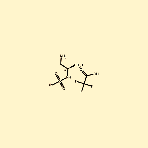 CC(C)S(=O)(=O)N[C@@H](CN)C(=O)O.O=C(O)C(F)(F)F